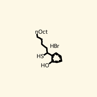 Br.CCCCCCCCCCCCC(S)c1ccccc1O